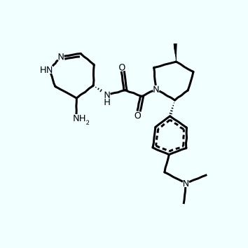 C[C@H]1CC[C@H](c2ccc(CN(C)C)cc2)N(C(=O)C(=O)N[C@H]2CC=NNCC2N)C1